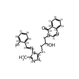 Cc1nnc(SCC(O)Cn2cnc3ccccc3c2=O)n1N=Cc1ccccc1F